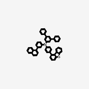 c1ccc(-c2cc(-c3ccccc3)cc(N(c3ccc(-c4cccc5sc6ccccc6c45)cc3)c3cccc(-c4cccc5ccccc45)c3)c2)cc1